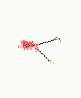 CCCCCCCCCCCCCCCC(=O)O[C@H](COC(=O)CCCCCCCCCCCCCS)COP(=O)(O)OC1C(O)[C@H](O)C(OP(=O)(O)O)[C@H](OP(=O)(O)O)[C@@H]1O